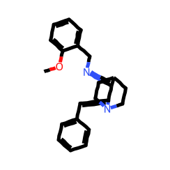 COc1ccccc1CN=C1C(=Cc2ccccc2)N2CCC1CC2